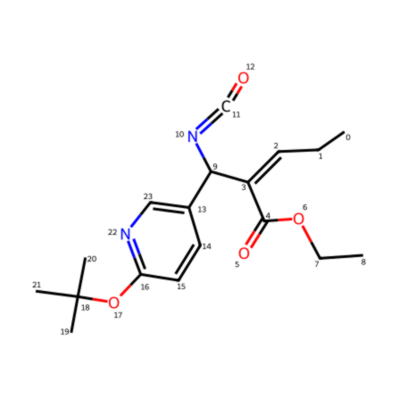 CCC=C(C(=O)OCC)C(N=C=O)c1ccc(OC(C)(C)C)nc1